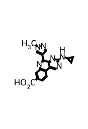 Cn1cc(-c2nc3cc(C(=O)O)ccc3c3cnc(NC4CC4)nc23)cn1